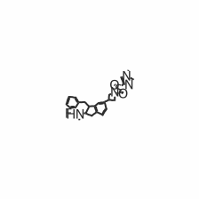 CNC1Cc2ccc(C3CN(S(=O)(=O)c4cn(C)cn4)C3)cc2C1Cc1cccc(F)c1